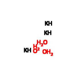 O.O.O.[KH].[KH].[KH]